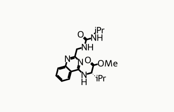 COC(=O)[C@@H](Nc1nc(CNC(=O)NC(C)C)nc2ccccc12)C(C)C